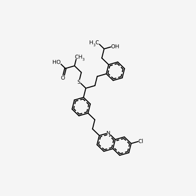 CC(O)Cc1ccccc1CCC(SCC(C)C(=O)O)c1cccc(CCc2ccc3ccc(Cl)cc3n2)c1